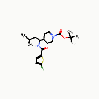 CC(C)CC(NC(=O)c1ccc(Cl)s1)C1CCN(C(=O)OC(C)(C)C)CC1